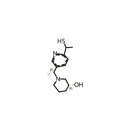 CC(S)c1ccc([C@@H](C)N2CCC[C@@H](O)C2)cn1